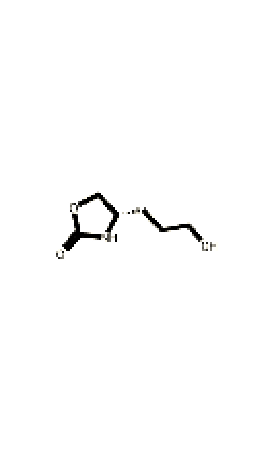 O=C1N[C@@H](CCCO)CO1